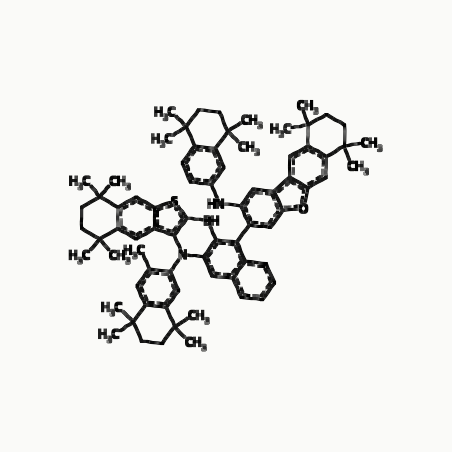 Cc1cc2c(cc1N1c3cc4ccccc4c(-c4cc5oc6cc7c(cc6c5cc4Nc4ccc5c(c4)C(C)(C)CCC5(C)C)C(C)(C)CCC7(C)C)c3Bc3sc4cc5c(cc4c31)C(C)(C)CCC5(C)C)C(C)(C)CCC2(C)C